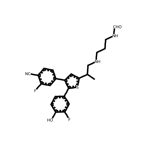 CC(CNCCCNC=O)c1cc(-c2ccc(C#N)c(F)c2)c(-c2ccc(O)c(F)c2)s1